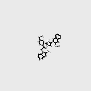 COc1nc2ccccc2cc1-c1cnc([C@@H]2CN(CC(F)(F)F)CCN2C(=O)Cn2c(C(F)(F)F)nc3ccccc32)[nH]1